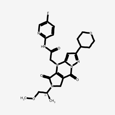 COC[C@H](C)N1Cc2c(n(CC(=O)Nc3ccc(F)cn3)c3cc(C4CCOCC4)nn3c2=O)C1=O